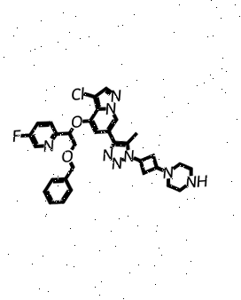 Cc1c(-c2cc(OC(COCc3ccccc3)c3ccc(F)cn3)c3c(Cl)cnn3c2)nnn1C1CC(N2CCNCC2)C1